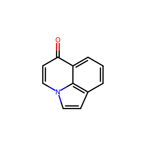 O=c1ccn2ccc3cccc1c32